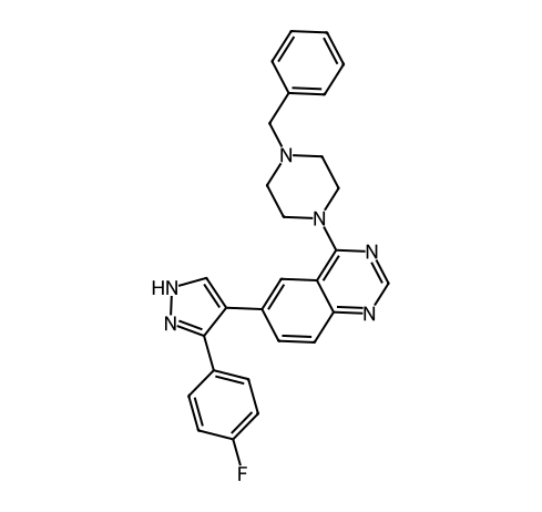 Fc1ccc(-c2n[nH]cc2-c2ccc3ncnc(N4CCN(Cc5ccccc5)CC4)c3c2)cc1